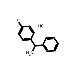 Cl.NC(c1ccccc1)c1ccc(F)cc1